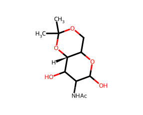 CC(=O)NC1C(O)OC2COC(C)(C)O[C@H]2C1O